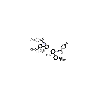 CC(=O)N1CCN(C(=O)/C=C/c2ccc(Sc3ccc(/C=C/C(=O)N4CCN(C(C)=O)CC4)c(-c4cccc(NC=O)c4)c3[N+](=O)[O-])c([N+](=O)[O-])c2-c2cccc(NC=O)c2)CC1